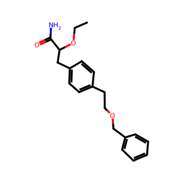 CCOC(Cc1ccc(CCOCc2ccccc2)cc1)C(N)=O